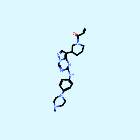 C=CC(=O)N1CCCC(c2cnn3cnc(Nc4ccc(N5CCN(C)CC5)cc4)nc23)C1